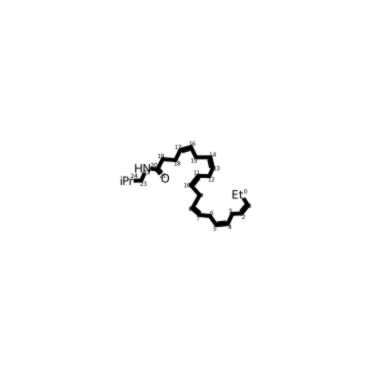 CC/C=C\C/C=C\C/C=C\C/C=C\C/C=C\C/C=C\CCC(=O)NCC(C)C